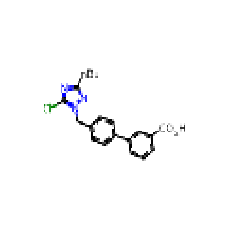 CCCCc1nc(Cl)n(Cc2ccc(-c3cccc(C(=O)O)c3)cc2)n1